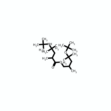 CC(COC(=O)C(C)CC(C)(C)NC(C)(C)C)CC(C)(C)OC(C)(C)C